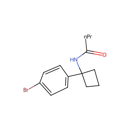 CCCC(=O)NC1(c2ccc(Br)cc2)CCC1